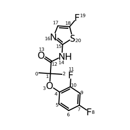 CC(C)(Oc1ccc(F)cc1F)C(=O)Nc1ncc(F)s1